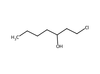 CCCCC(O)CCCl